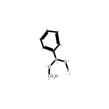 O=C(O)OB(OF)c1ccccc1